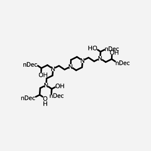 CCCCCCCCCCC(O)CN(CCN1CCN(CCN(CC(O)CCCCCCCCCC)C(O)CCCCCCCCCC)CC1)CCN(CC(O)CCCCCCCCCC)C(O)CCCCCCCCCC